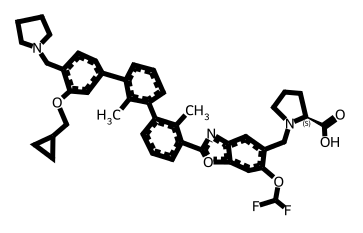 Cc1c(-c2ccc(CN3CCCC3)c(OCC3CC3)c2)cccc1-c1cccc(-c2nc3cc(CN4CCC[C@H]4C(=O)O)c(OC(F)F)cc3o2)c1C